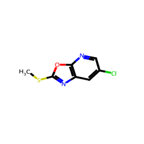 CSc1nc2cc(Cl)cnc2o1